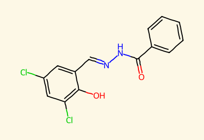 O=C(NN=Cc1cc(Cl)cc(Cl)c1O)c1ccccc1